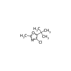 Cc1nc(Cl)c(C(C)(C)C)o1